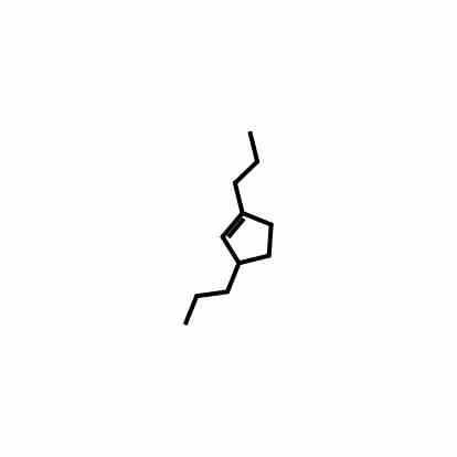 CCCC1=CC(CCC)CC1